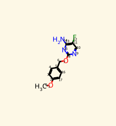 COc1ccc(COc2ncc(F)c(N)n2)cc1